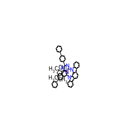 CC1(C)CC(C)(C)c2cc(-n3c4ccccc4c4ccc5c6ccccc6n(-c6nc(-c7ccc(-c8ccccc8)cc7)nc(-c7ccc(-c8ccccc8)cc7)n6)c5c43)ccc21